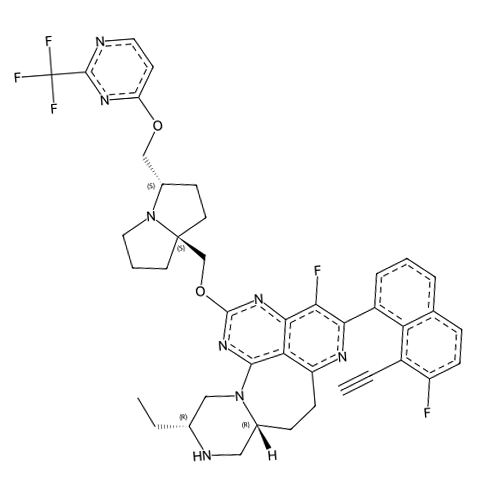 C#Cc1c(F)ccc2cccc(-c3nc4c5c(nc(OC[C@@]67CCCN6[C@H](COc6ccnc(C(F)(F)F)n6)CC7)nc5c3F)N3C[C@@H](CC)NC[C@H]3CC4)c12